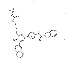 CC(C)(C)OC(=O)NCCCCn1nc(-c2ccc(NC(=O)N3Cc4ccncc4C3)cc2)cc(-c2ccc3cccnc3c2)c1=O